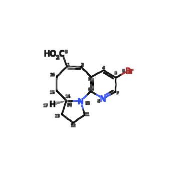 O=C(O)C1=Cc2cc(Br)cnc2N2CCC[C@H]2CC1